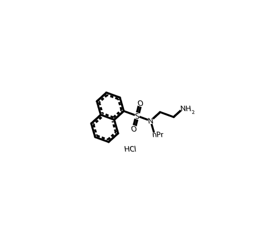 CCCN(CCN)S(=O)(=O)c1cccc2ccccc12.Cl